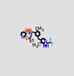 CC[C@@H]1CN(Cc2cc(Cc3ccn4c(C(F)F)nnc4c3C)ccc2C)S(=O)(=O)c2cccnc2O1